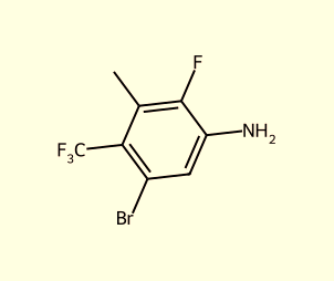 Cc1c(F)c(N)cc(Br)c1C(F)(F)F